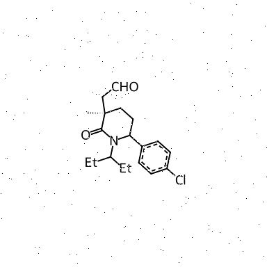 CCC(CC)N1C(=O)[C@@](C)(CC=O)CCC1c1ccc(Cl)cc1